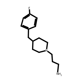 NCCCN1CCC(Cc2ccc(F)cc2)CC1